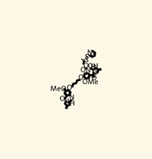 C=C1C[C@H]2C=Nc3cc(OCCCCCOC4C=C5C(=CC4OC)C(=O)N4CC(=C)C[C@H]4[C@H](O)N5C(=O)OC[C@@H](C)SSc4ccccn4)c(OC)cc3C(=O)N2C1